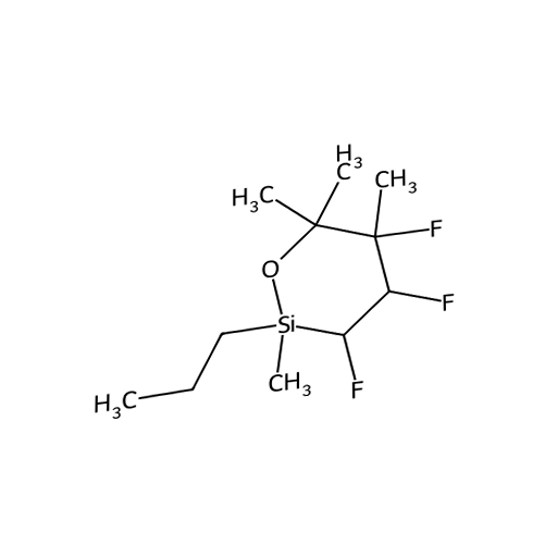 CCC[Si]1(C)OC(C)(C)C(C)(F)C(F)C1F